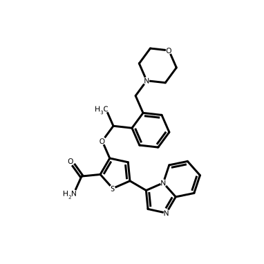 CC(Oc1cc(-c2cnc3ccccn23)sc1C(N)=O)c1ccccc1CN1CCOCC1